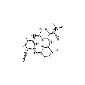 C[C@@H]1CC[C@@H](Nc2nc(NC3CCC(C(=O)N(C)C)CC3)ncc2C#N)C[C@H]1O